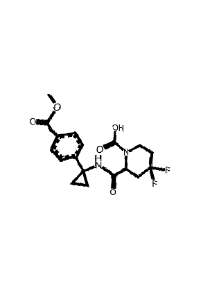 COC(=O)c1ccc(C2(NC(=O)C3CC(F)(F)CCN3C(=O)O)CC2)cc1